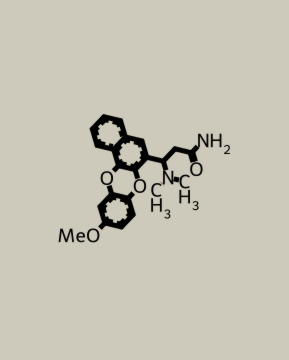 COc1ccc2c(c1)Oc1c(c(C(CC(N)=O)N(C)C)cc3ccccc13)O2